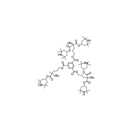 CCCCC(C)(CCCOC(=O)c1cc(C(=O)OCCCC(CCCC)(C(=O)OC2CC(C)(C)NC(C)(C)C2)C(=O)OC2CC(C)(C)NC(C)(C)C2)cc(C(=O)OCCCC(CCCC)(C(=O)OC2CC(C)(C)NC(C)(C)C2)C(=O)OC2CC(C)(C)NC(C)(C)C2)c1)C(=O)OC1CC(C)(C)NC(C)(C)C1